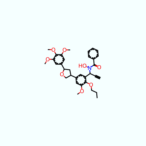 C#CC(c1cc(C2COC(c3cc(OC)c(OC)c(OC)c3)C2)cc(OC)c1OCCC)N(O)C(=O)c1ccccc1